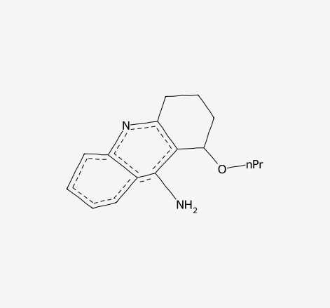 CCCOC1CCCc2nc3ccccc3c(N)c21